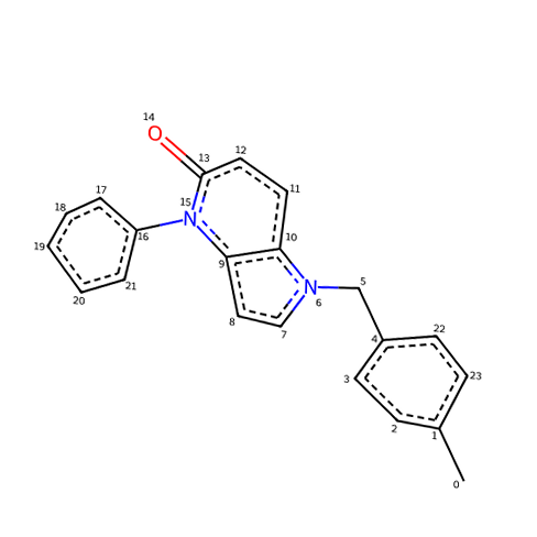 Cc1ccc(Cn2ccc3c2ccc(=O)n3-c2ccccc2)cc1